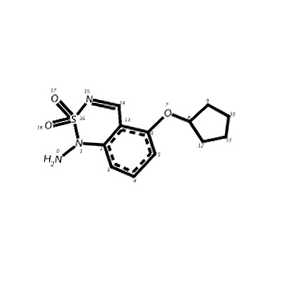 NN1c2cccc(OC3CCCC3)c2C=NS1(=O)=O